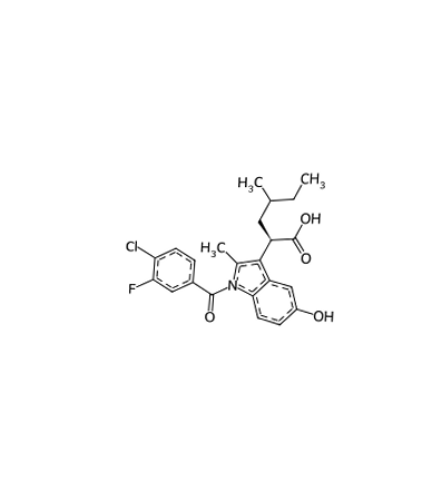 CCC(C)C[C@@H](C(=O)O)c1c(C)n(C(=O)c2ccc(Cl)c(F)c2)c2ccc(O)cc12